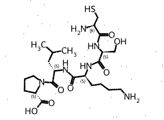 CC(C)C[C@H](NC(=O)[C@H](CCCCN)NC(=O)[C@H](CO)NC(=O)[C@@H](N)CS)C(=O)N1CCC[C@H]1C(=O)O